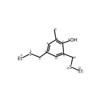 CCSCc1cc(C)c(O)c(CSCC)c1